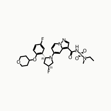 CCN(C)S(=O)(=O)NC(=O)c1cnn2ccc(N3C[C@@H](F)C[C@@H]3c3cc(F)ccc3OC3CCOCC3)cc12